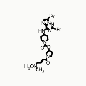 CC(C)c1nc(NC2CCN(C(=O)OC3CCN(C(=O)C=CCN(C)C)C3)CC2)c2ncc(C(C)C)n2n1